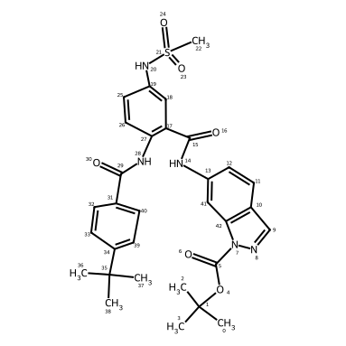 CC(C)(C)OC(=O)n1ncc2ccc(NC(=O)c3cc(NS(C)(=O)=O)ccc3NC(=O)c3ccc(C(C)(C)C)cc3)cc21